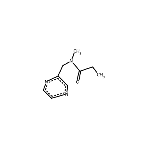 CCC(=O)N(C)Cc1cnccn1